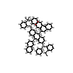 CC(C)c1ccccc1N(c1ccccc1)c1ccc2c(-c3cc4ccccc4c4ccccc34)c3cc(N4c5ccccc5C(C)(C)c5ccccc54)ccc3c(-c3ccc4ccccc4c3)c2c1